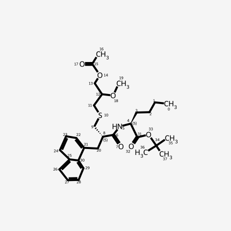 CCCC[C@H](NC(=O)[C@@H](CSCC(COC(C)=O)OC)Cc1cccc2ccccc12)C(=O)OC(C)(C)C